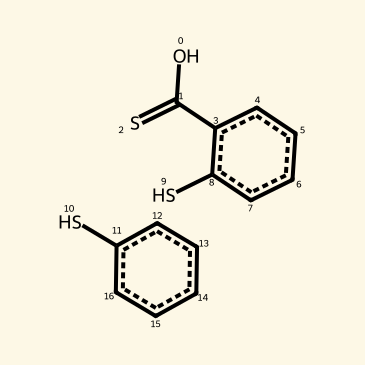 OC(=S)c1ccccc1S.Sc1ccccc1